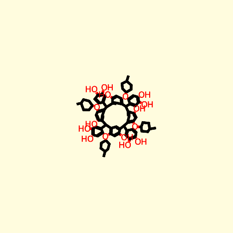 CC1CCC(Oc2cc(O)c3cc2C(c2ccc(O)c(O)c2)c2cc(c(OC4CCC(C)CC4)cc2O)C(c2ccc(O)c(O)c2)c2cc(c(OC4CCC(C)CC4)cc2O)C(c2ccc(O)c(O)c2)c2cc(c(OC4CCC(C)CC4)cc2O)C3c2ccc(O)c(O)c2)CC1